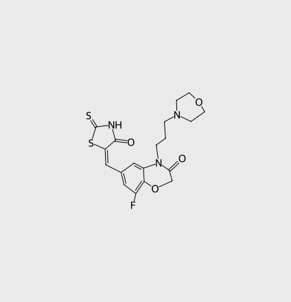 O=C1NC(=S)SC1=Cc1cc(F)c2c(c1)N(CCCN1CCOCC1)C(=O)CO2